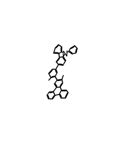 Cc1ccc(-c2ccc3c(c2)c2ccccc2n3-c2ccccc2)cc1-c1cc2c3ccccc3c3ccccc3c2cc1C